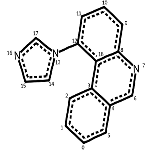 c1ccc2c(c1)cnc1cccc(-n3ccnc3)c12